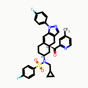 O=C(c1cc(C(F)(F)F)ccn1)[C@]12Cc3cnn(-c4ccc(F)cc4)c3C=C1CC[C@H](N(CC1CC1)S(=O)(=O)c1ccc(F)cc1)C2